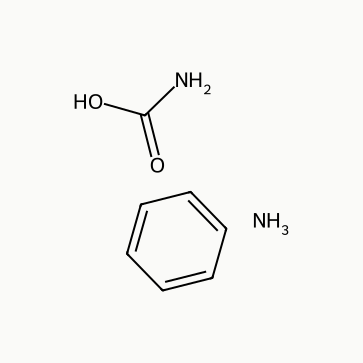 N.NC(=O)O.c1ccccc1